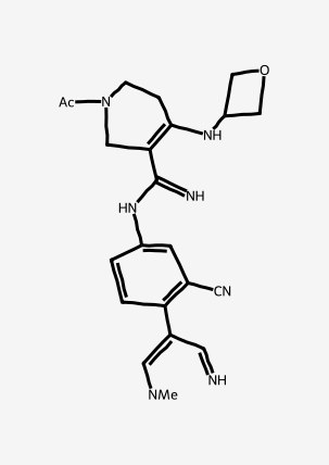 CN/C=C(\C=N)c1ccc(NC(=N)C2=C(NC3COC3)CCN(C(C)=O)C2)cc1C#N